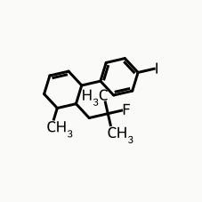 CC1CC=CC(c2ccc(I)cc2)C1CC(C)(C)F